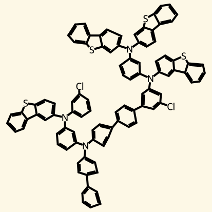 Clc1cccc(N(c2cccc(N(c3ccc(-c4ccccc4)cc3)c3ccc(-c4ccc(-c5cc(Cl)cc(N(c6cccc(N(c7ccc8c(c7)sc7ccccc78)c7ccc8c(c7)sc7ccccc78)c6)c6ccc7sc8ccccc8c7c6)c5)cc4)cc3)c2)c2ccc3sc4ccccc4c3c2)c1